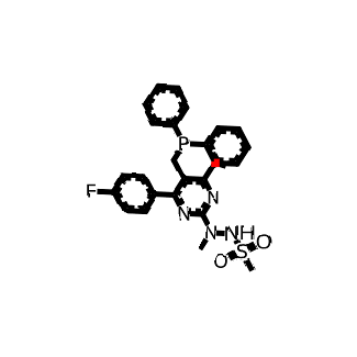 CC(C)c1nc(N(C)NS(C)(=O)=O)nc(-c2ccc(F)cc2)c1CP(c1ccccc1)c1ccccc1